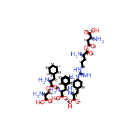 N=C(N)NCCC[C@@H](N)C(=O)OC(=O)C[C@H](N)C(=O)O.N[C@@H](CC1CCCCC1)C(=O)O.N[C@@H](Cc1ccccc1)C(=O)O.N[C@H](COC(=O)[C@@H](N)CC1CCCCC1)C(=O)O